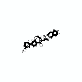 COc1cccc(-c2ccc3c(c2)OCCN(CC(O)CN2CCc4ccccc4C2)C3=O)n1